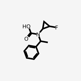 CC(c1ccccc1)N(C(=O)O)C1CC1F